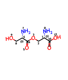 N[C@@H](COC(=O)[C@@H](N)CO)C(=O)O